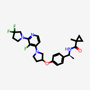 C[C@H](NC(=O)C1(C)CC1)c1ccc(OC2CCN(c3ccnc(N4CCC(F)(F)C4)c3F)C2)cc1